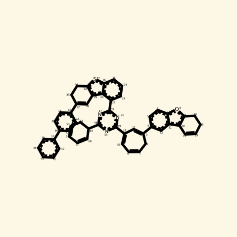 C1=CCC(c2ccc3oc4c(c3c2)C=CCC4)=CC(c2nc(-c3cccc4sc5c(c34)C=C(c3ccc(-c4ccccc4)cc3)CC5)nc(C3C=CC=CC3)n2)=C1